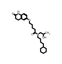 CC(O)CN(CCCCC1CCCCC1)C(=O)CCCCOc1ccc2c(c1)CCC(=O)N2